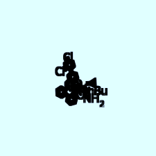 CCCC[C@H](C(N)=O)[C@@H](CC1CC1)C(=O)N[C@@H]1C(=O)N(Cc2cccc(-c3ccc(Cl)cc3Cl)c2)c2ccccc2-c2ccccc21